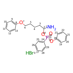 Br.NC(CCCCOc1ccccc1)OP(=O)(Oc1ccccc1)c1ccccc1